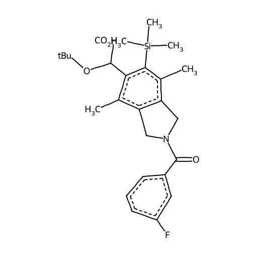 Cc1c2c(c(C)c([Si](C)(C)C)c1C(OC(C)(C)C)C(=O)O)CN(C(=O)c1cccc(F)c1)C2